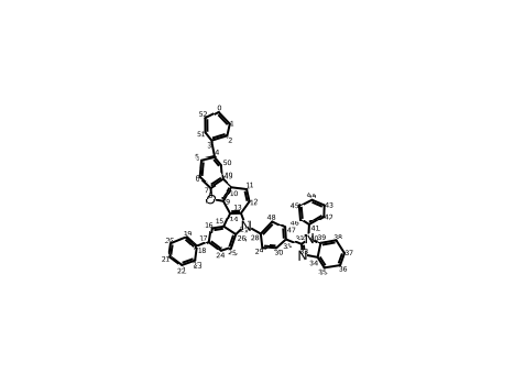 c1ccc(-c2ccc3oc4c(ccc5c4c4cc(-c6ccccc6)ccc4n5-c4ccc(-c5nc6ccccc6n5-c5ccccc5)cc4)c3c2)cc1